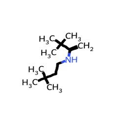 C=C(NCCC(C)(C)C)C(C)(C)C